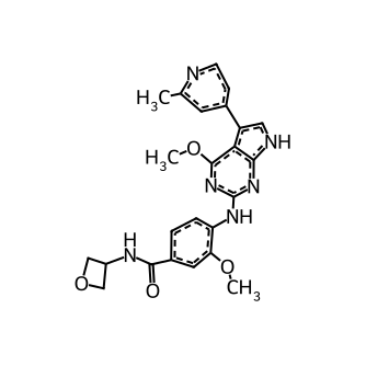 COc1cc(C(=O)NC2COC2)ccc1Nc1nc(OC)c2c(-c3ccnc(C)c3)c[nH]c2n1